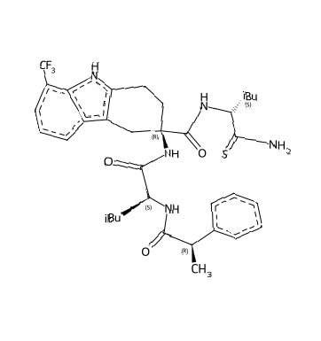 CCC(C)[C@H](NC(=O)[C@H](C)c1ccccc1)C(=O)N[C@]1(C(=O)NC(C(N)=S)[C@@H](C)CC)CCc2[nH]c3c(C(F)(F)F)cccc3c2C1